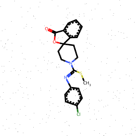 CSC(=Nc1ccc(Cl)cc1)N1CCC2(CC1)OC(=O)c1ccccc12